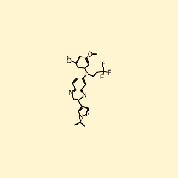 COc1cc(OC)cc(N(CCC(F)(F)F)c2ccc3ncc(-c4cnn(C(C)C)c4)nc3c2)c1